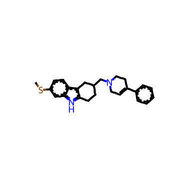 CSc1ccc2c3c([nH]c2c1)CCC(CN1CC=C(c2ccccc2)CC1)C3